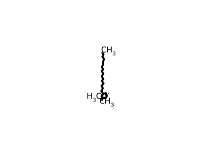 CCCCCCCCCCCCCCCCCCc1[c]ccc(C)c1C